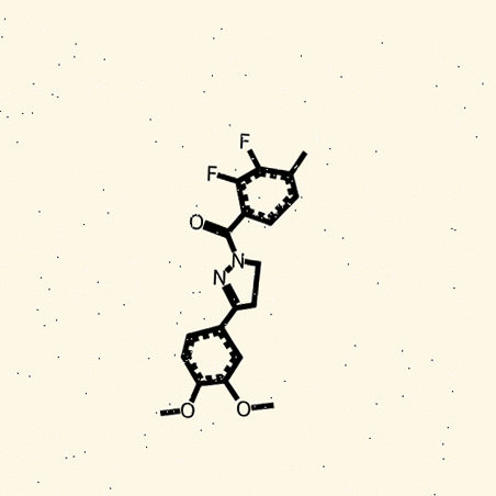 COc1ccc(C2=NN(C(=O)c3ccc(C)c(F)c3F)CC2)cc1OC